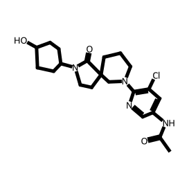 CC(=O)Nc1cnc(N2CCCC3(CCN(C4CCC(O)CC4)C3=O)C2)c(Cl)c1